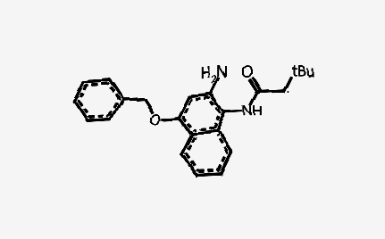 CC(C)(C)[CH]C(=O)Nc1c(N)cc(OCc2ccccc2)c2ccccc12